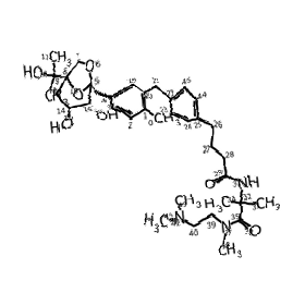 Cc1ccc([C@@]23OC[C@@](C(C)(C)O)(C[C@H](O)[C@H]2O)O3)cc1Cc1ccc(CCCC(=O)NC(C)(C)C(=O)N(C)CCN(C)C)cc1